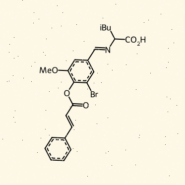 CCC(C)C(/N=C/c1cc(Br)c(OC(=O)/C=C/c2ccccc2)c(OC)c1)C(=O)O